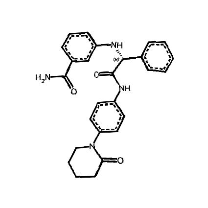 NC(=O)c1cccc(N[C@@H](C(=O)Nc2ccc(N3CCCCC3=O)cc2)c2ccccc2)c1